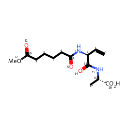 C=C[C@H](NC(=O)CCCCC(=O)OC)C(=O)N[C@@H](C)C(=O)O